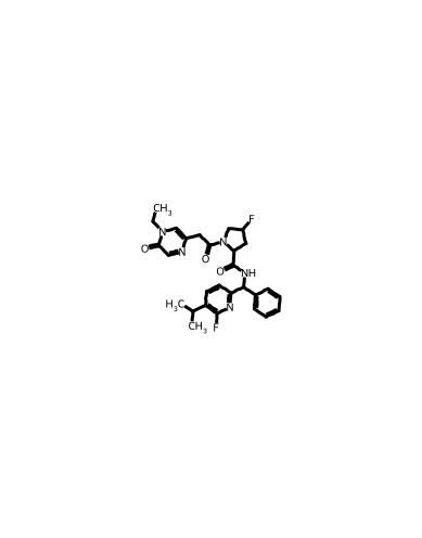 CCn1cc(CC(=O)N2CC(F)CC2C(=O)NC(c2ccccc2)c2ccc(C(C)C)c(F)n2)ncc1=O